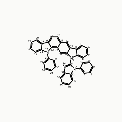 c1ccc(-n2c(-n3c4ccccc4c4cc5ccc6c7ccccc7n(-c7ccccc7)c6c5cc43)nc3ccccc32)cc1